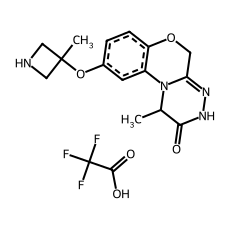 CC1C(=O)NN=C2COc3ccc(OC4(C)CNC4)cc3N21.O=C(O)C(F)(F)F